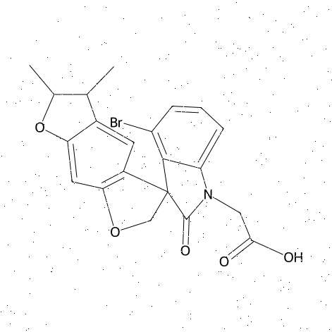 CC1Oc2cc3c(cc2C1C)C1(CO3)C(=O)N(CC(=O)O)c2cccc(Br)c21